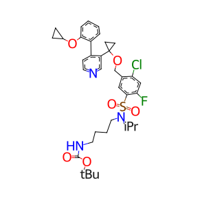 CC(C)N(CCCCNC(=O)OC(C)(C)C)S(=O)(=O)c1cc(COC2(c3cnccc3-c3ccccc3OC3CC3)CC2)c(Cl)cc1F